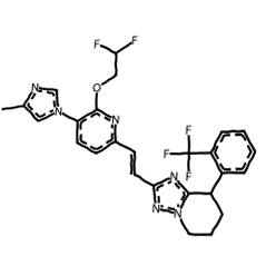 Cc1cn(-c2ccc(C=Cc3nc4n(n3)CCCC4c3ccccc3C(F)(F)F)nc2OCC(F)F)cn1